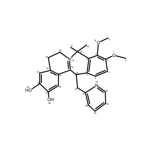 COc1ccc2c(c1OC)C(C)(C)[N+]1=C(c3cc(O)c(O)cc3CC1)C2Cc1ccccn1